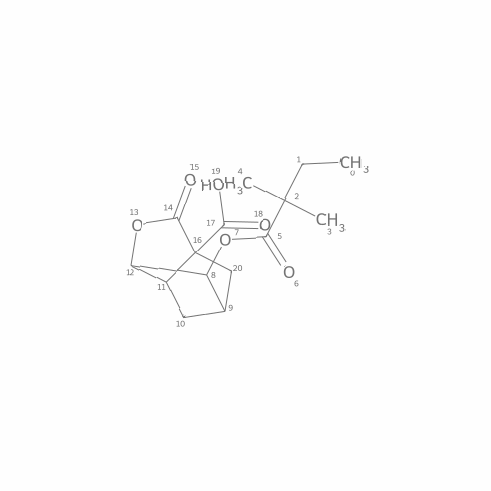 CCC(C)(C)C(=O)OC1C2CC3C1OC(=O)C3(C(=O)O)C2